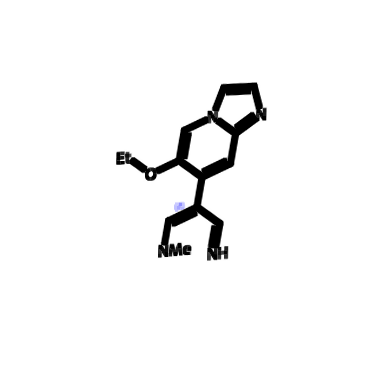 CCOc1cn2ccnc2cc1/C(C=N)=C/NC